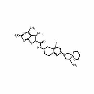 Cc1nc(C)c2c(N)c(C(=O)NC3CCc4nc(N5CC(N)C6(CCCCO6)C5)cc(F)c4C3)sc2n1